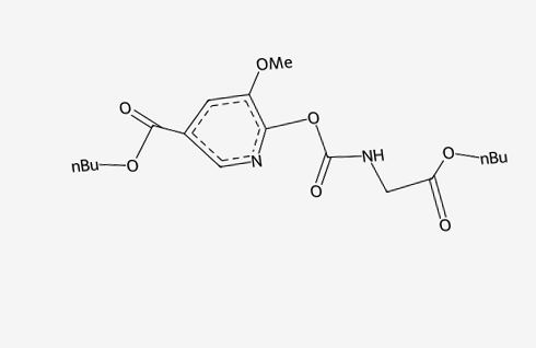 CCCCOC(=O)CNC(=O)Oc1ncc(C(=O)OCCCC)cc1OC